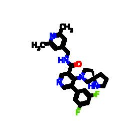 Cc1cc(CNC(=O)c2cncc(-c3cc(F)cc(F)c3)c2N2CC[C@@]3(CCCN3)C2)cc(C)n1